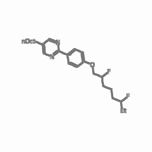 CCCCCCCCc1cnc(-c2ccc(OCC(F)CCCC(F)CC)cc2)nc1